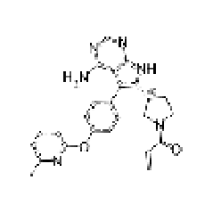 C=CC(=O)N1CC[C@@H](c2[nH]c3ncnc(N)c3c2-c2ccc(Oc3cccc(C)n3)cc2)C1